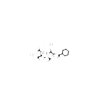 CC(=O)N[C@@H](CSC(=O)O[C@@H](OC(=O)C1CCCCC1)C(C)C)C(=O)O